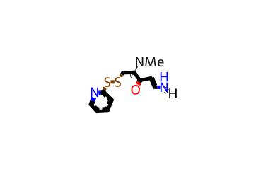 [3H]NC=CC(=O)[C@H](CSSc1ccccn1)NC